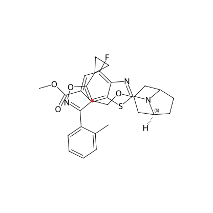 COC(=O)c1cc(F)c2nc(N3C4CC[C@H]3CC(OCc3c(-c5ccccc5C)noc3C3CC3)C4)sc2c1